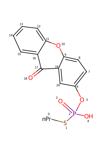 CCCSP(=O)(O)Oc1ccc2oc3ccccc3c(=O)c2c1